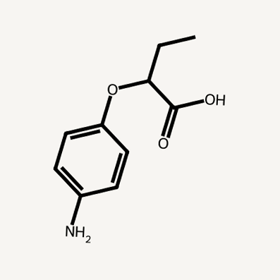 CCC(Oc1ccc(N)cc1)C(=O)O